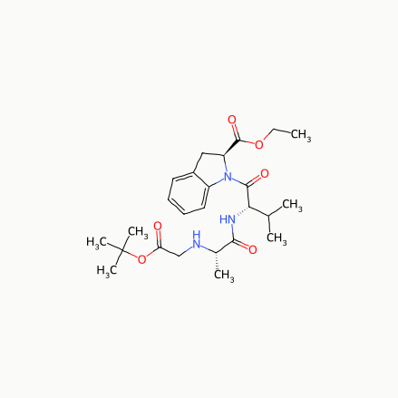 CCOC(=O)[C@@H]1Cc2ccccc2N1C(=O)[C@@H](NC(=O)[C@H](C)NCC(=O)OC(C)(C)C)C(C)C